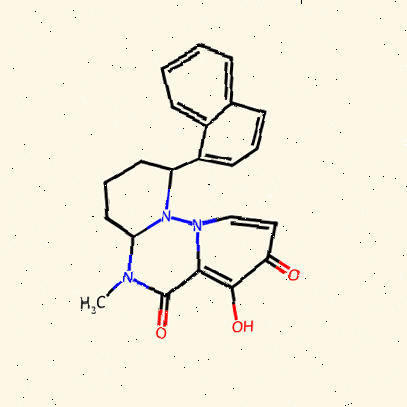 CN1C(=O)c2c(O)c(=O)ccn2N2C(c3cccc4ccccc34)CCCC12